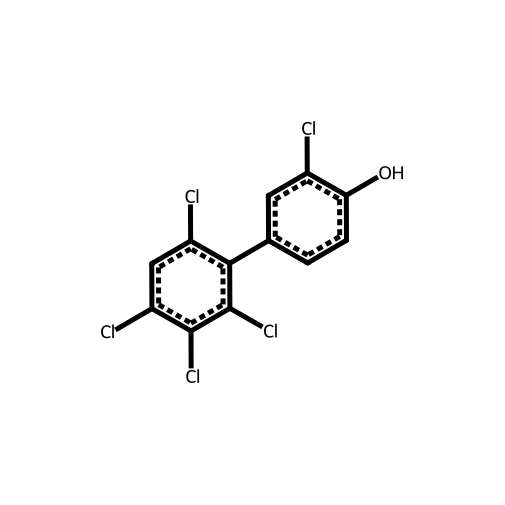 Oc1ccc(-c2c(Cl)cc(Cl)c(Cl)c2Cl)cc1Cl